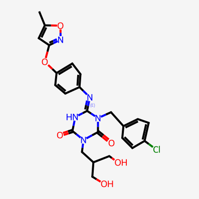 Cc1cc(Oc2ccc(/N=c3\[nH]c(=O)n(CC(CO)CO)c(=O)n3Cc3ccc(Cl)cc3)cc2)no1